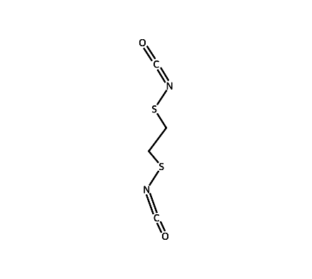 O=C=NSCCSN=C=O